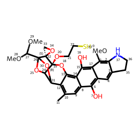 COc1c2c(cc3c(O)c4cc(C)c5c(c4c(O)c13)O[C@]1(OCCS)C3OC(C(OC)OC)(OC53)[C@]13CO3)CCN2